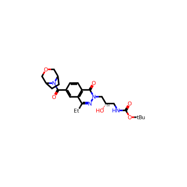 CCc1nn(C[C@@H](O)CNC(=O)OC(C)(C)C)c(=O)c2ccc(C(=O)N3C4CCC3COC4)cc12